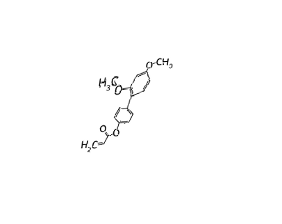 C=CC(=O)Oc1ccc(-c2ccc(OC)cc2OC)cc1